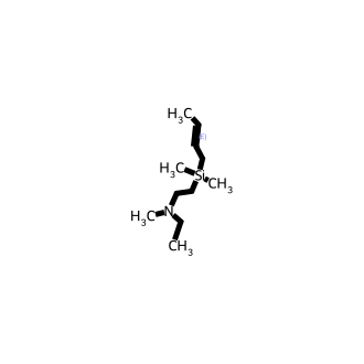 C/C=C/C[Si](C)(C)CCN(C)CC